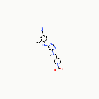 CCc1cc(C#N)ccc1Nc1cc(N(C)CC2CCN(C(=O)O)CC2)ncn1